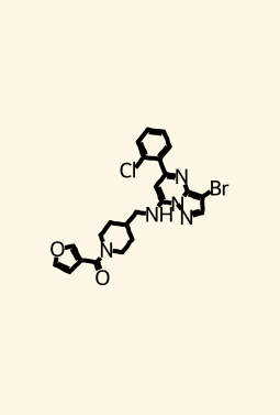 O=C(c1ccoc1)N1CCC(CNc2cc(-c3ccccc3Cl)nc3c(Br)cnn23)CC1